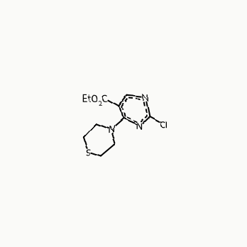 CCOC(=O)c1cnc(Cl)nc1N1CCSCC1